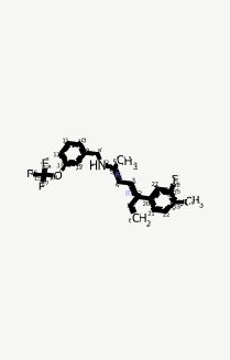 C=C/C(=C\C=C(/C)NCc1cccc(OC(F)(F)F)c1)c1ccc(C)c(F)c1